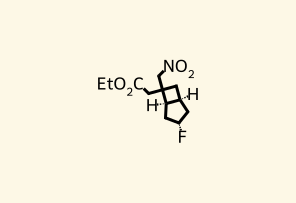 CCOC(=O)CC1(C[N+](=O)[O-])C[C@H]2C[C@H](F)C[C@H]21